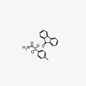 Cc1ccc(S(=O)(=O)NN)cc1.O=C1c2ccccc2-c2ccccc21